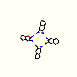 Cn1c2nc3nc(nc4c5cc6ccccc6cc5c(nc5nc(nc1c1cc6ccccc6cc12)-c1cc2ccccc2cc1-5)n4C=O)-c1cc2ccccc2cc1-3